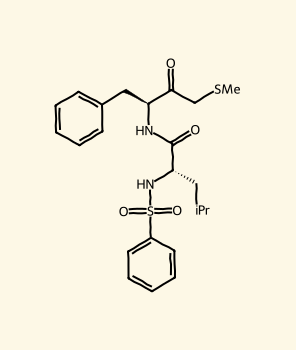 CSCC(=O)[C@H](Cc1ccccc1)NC(=O)[C@H](CC(C)C)NS(=O)(=O)c1ccccc1